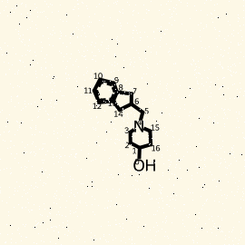 OC1CCN(CC2Cc3ccccc3C2)CC1